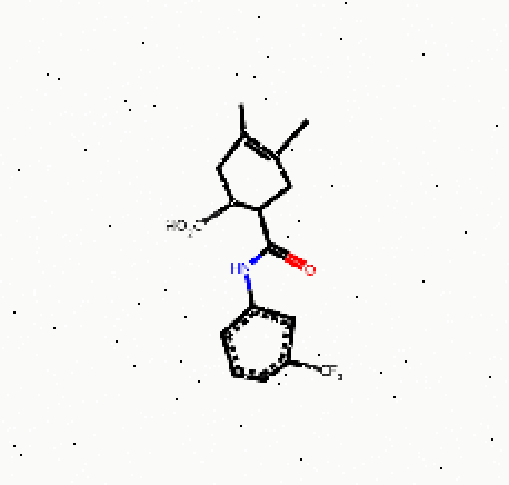 CC1=C(C)CC(C(=O)Nc2cccc(C(F)(F)F)c2)C(C(=O)O)C1